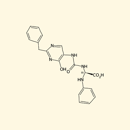 O=C(Nc1cnc(Cc2ccccc2)nc1O)N[C@H](Nc1ccccc1)C(=O)O